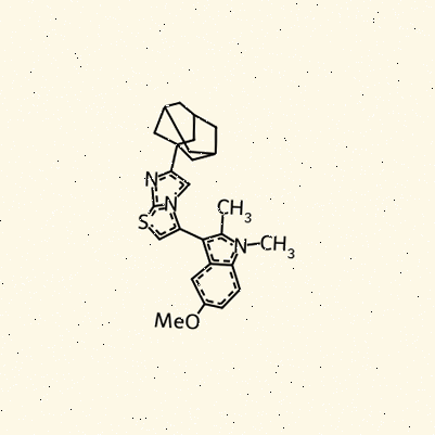 COc1ccc2c(c1)c(-c1csc3nc(C45CC6CC(CC(C6)C4)C5)cn13)c(C)n2C